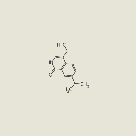 CCc1c[nH]c(=O)c2cc(C(C)C)ccc12